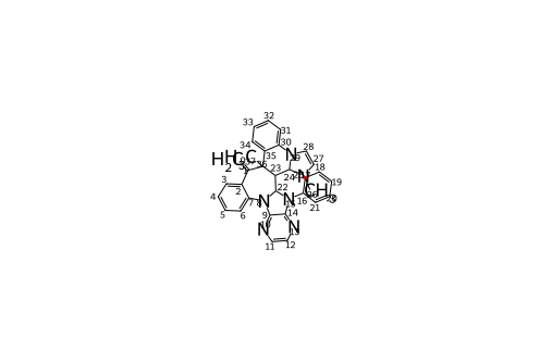 C=C1c2ccccc2N2c3nccnc3N(c3ccccc3)C2C2C3N(C)C=CN3c3ccccc3C12C